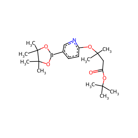 CC(C)(C)OC(=O)CC(C)(C)Oc1ccc(B2OC(C)(C)C(C)(C)O2)cn1